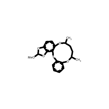 COC1Oc2ccc3c(c2O1)Sc1ccccc1OC(C)CCC(C)O3